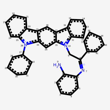 Nc1ccccc1/N=C(\Cn1c2ccccc2c2cc3c4ccccc4n(-c4ccccc4)c3cc21)c1ccccc1